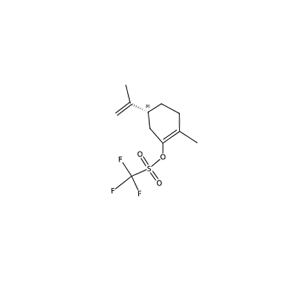 C=C(C)[C@@H]1CCC(C)=C(OS(=O)(=O)C(F)(F)F)C1